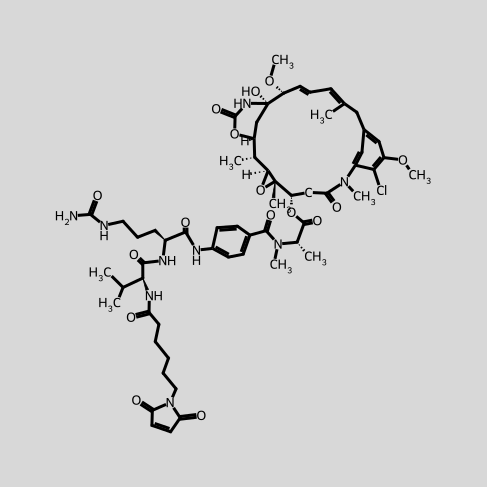 COc1cc2cc(c1Cl)N(C)C(=O)C[C@H](OC(=O)[C@H](C)N(C)C(=O)c1ccc(NC(=O)[C@H](CCCNC(N)=O)NC(=O)[C@@H](NC(=O)CCCCCN3C(=O)C=CC3=O)C(C)C)cc1)[C@]1(C)O[C@H]1[C@H](C)[C@@H]1C[C@@](O)(NC(=O)O1)[C@H](OC)/C=C/C=C(\C)C2